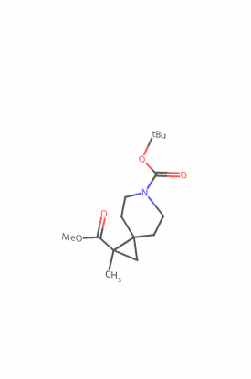 COC(=O)C1(C)CC12CCN(C(=O)OC(C)(C)C)CC2